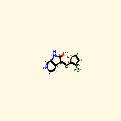 O=C1Nc2cnccc2C1=Cc1sccc1Br